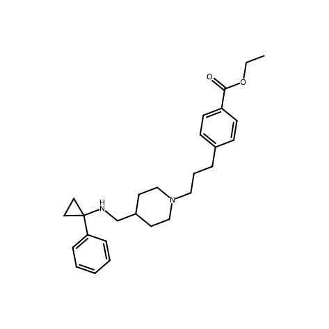 CCOC(=O)c1ccc(CCCN2CCC(CNC3(c4ccccc4)CC3)CC2)cc1